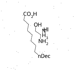 CCCCCCCCCCCCCCCCCC(=O)O.I.N.NCCO